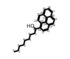 CCCCCCCCC(O)c1ccc2ccc3cccc4ccc1c2c34